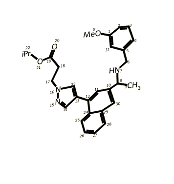 COc1cccc(CNC(C)c2cc(-c3cnn(CCC(=O)OC(C)C)c3)c3ccccc3c2)c1